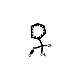 [CH2]C(O)(P=O)c1ccccc1